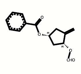 C=C1C[C@@H](OC(=O)c2ccccc2)C[C@H]1OC=O